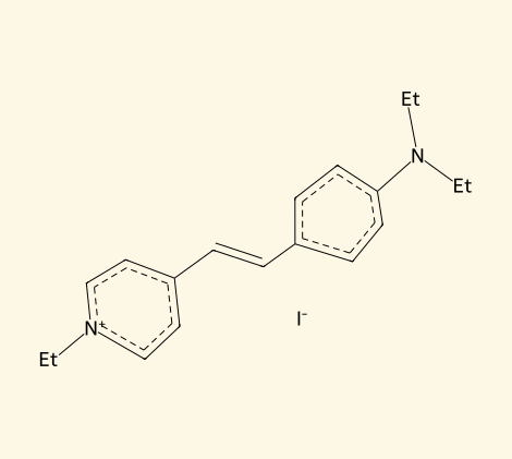 CCN(CC)c1ccc(/C=C/c2cc[n+](CC)cc2)cc1.[I-]